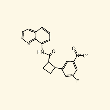 O=C(Nc1cccc2cccnc12)[C@@H]1CC[C@@H]1c1cc(F)cc([N+](=O)[O-])c1